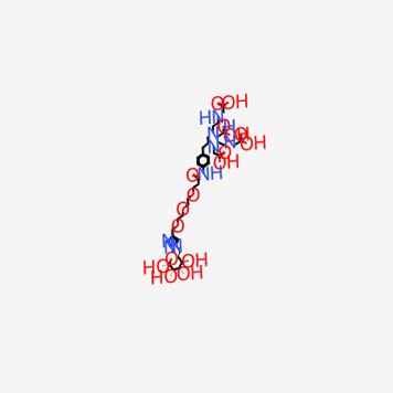 O=C(O)CNCCN(CC(=O)O)CC(Cc1ccc(NC(=O)CCOCCOCCOCc2cn(C[C@@H]3O[C@@H](O)[C@@H](O)[C@@H](O)[C@@H]3O)nn2)cc1)N(CCNCC(=O)O)CC(=O)O